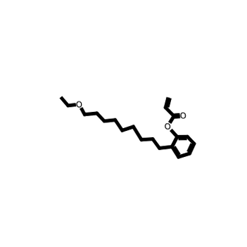 C=CC(=O)Oc1ccccc1CCCCCCCCCOCC